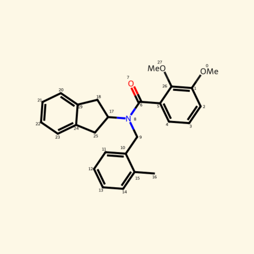 COc1cccc(C(=O)N(Cc2ccccc2C)C2Cc3ccccc3C2)c1OC